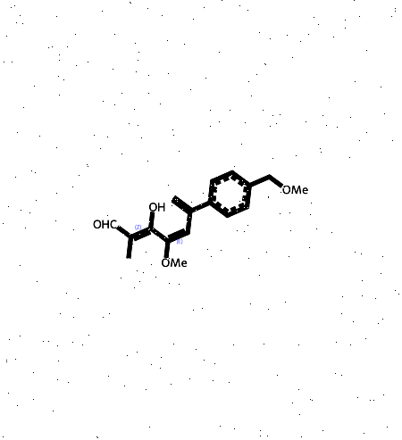 C=C(/C=C(OC)\C(O)=C(/C)C=O)c1ccc(COC)cc1